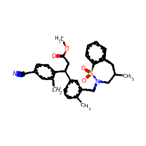 COC(=O)CC(c1ccc(C)c(CN2CC(C)Cc3ccccc3S2(=O)=O)c1)c1ccc(C#N)cc1C